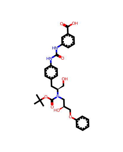 CC(C)(C)OC(=O)N(C[C@H](O)COc1ccccc1)[C@H](CO)Cc1ccc(NC(=O)Nc2cccc(C(=O)O)c2)cc1